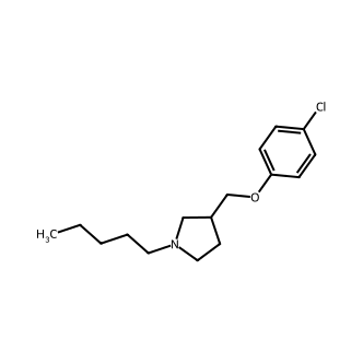 CCCCCN1CCC(COc2ccc(Cl)cc2)C1